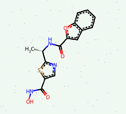 C[C@H](NC(=O)c1cc2ccccc2o1)c1ncc(C(=O)NO)s1